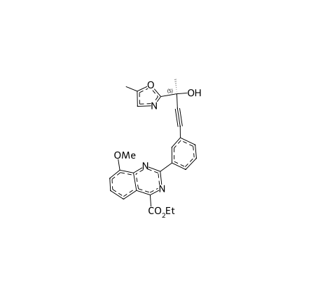 CCOC(=O)c1nc(-c2cccc(C#C[C@](C)(O)c3ncc(C)o3)c2)nc2c(OC)cccc12